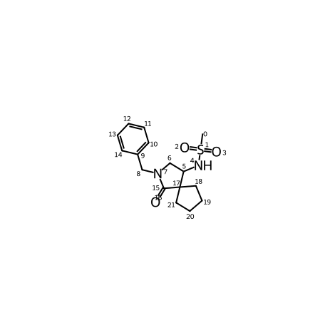 CS(=O)(=O)NC1CN(Cc2ccccc2)C(=O)C12CCCC2